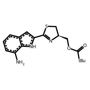 CC(C)(C)C(=O)OC[C@@H]1CSC(c2cc3cccc(N)c3[nH]2)=N1